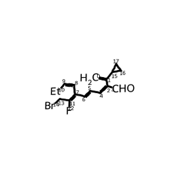 C=C(\C(C=O)=C/C=C/C(/C=C\CC)=C(\F)CBr)C1CC1